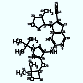 BC(B)(B)n1cc(Nc2ncc3cc(C#N)n([C@H]4COCC4C)c3n2)c(OC2COC2(C)C)n1